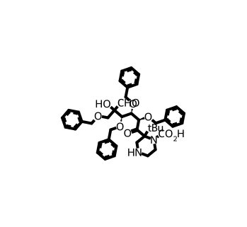 CC(C)(C)C1(C(=O)[C@H](OCc2ccccc2)[C@@H](OCc2ccccc2)[C@H](OCc2ccccc2)C(O)(C=O)COCc2ccccc2)CNCCN1C(=O)O